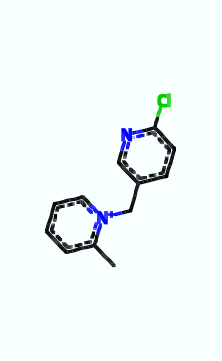 Cc1cccc[n+]1Cc1ccc(Cl)nc1